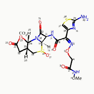 CONC(=O)CO/N=C(\C(=O)N[C@@H]1C(=O)N2[C@@H]1[S+]([O-])C[C@@H]1CC(=O)O[C@@]12C(=O)O)c1csc(N)n1